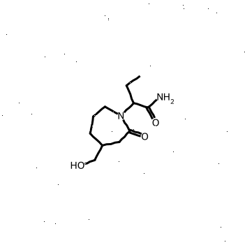 CCC(C(N)=O)N1CCCC(CO)CC1=O